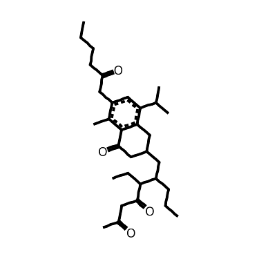 CCCCC(=O)Cc1cc(C(C)C)c2c(c1C)C(=O)CC(CC(CCC)C(CC)C(=O)CC(C)=O)C2